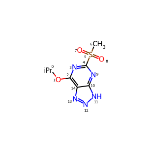 CC(C)Oc1nc(S(C)(=O)=O)nc2[nH]nnc12